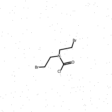 O=C(Cl)N(CCBr)CCBr